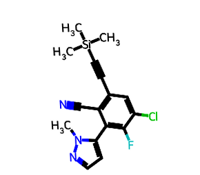 Cn1nccc1-c1c(F)c(Cl)cc(C#C[Si](C)(C)C)c1C#N